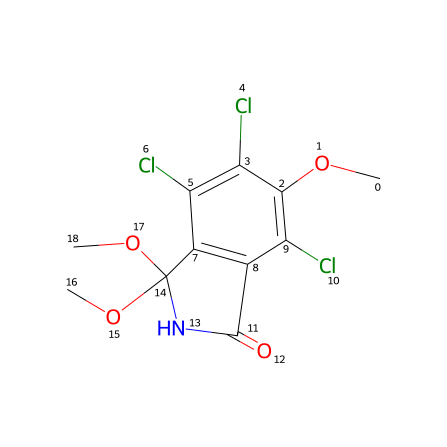 COc1c(Cl)c(Cl)c2c(c1Cl)C(=O)NC2(OC)OC